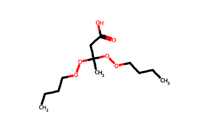 CCCCOOC(C)(CC(=O)O)OOCCCC